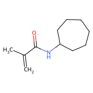 C=C(C)C(=O)NC1CCCCCC1